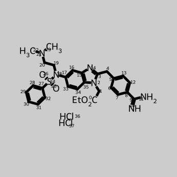 CCOC(=O)Cn1c(Cc2ccc(C(=N)N)cc2)nc2cc(N(CCN(C)C)S(=O)(=O)c3ccccc3)ccc21.Cl.Cl